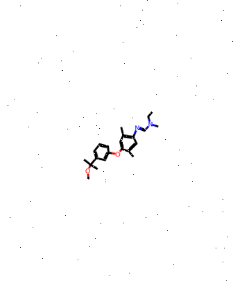 CCN(C)C=Nc1cc(C)c(Oc2cccc(C(C)(C)OC)c2)cc1C